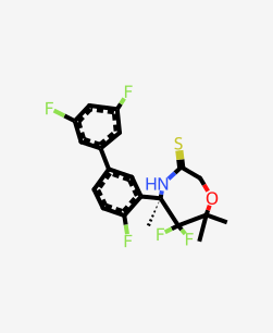 CC1(C)OCC(=S)N[C@](C)(c2cc(-c3cc(F)cc(F)c3)ccc2F)C1(F)F